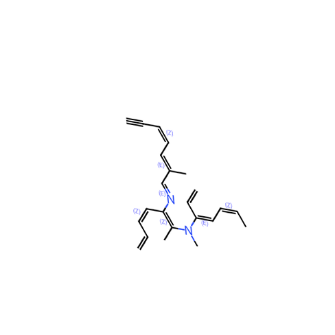 C#C\C=C/C=C(C)/C=N/C(/C=C\C=C)=C(/C)N(C)/C(C=C)=C/C=C\C